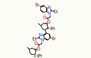 CCc1nc2cc(Br)ccc2n1CC(=O)O[C@@H]1CC(C)CC(c2cc(Br)cc3c2nc(CC)n3CC(=O)O[C@@H]2CC(C)CC[C@H]2C(C)C)[C@H]1C(C)C